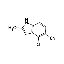 Cc1cc2c(Cl)c(C#N)ccc2[nH]1